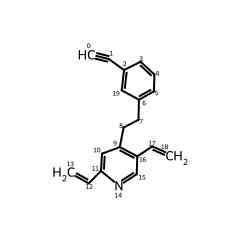 C#Cc1cccc(CCc2cc(C=C)ncc2C=C)c1